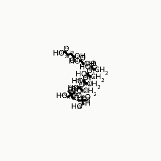 C=CC(=O)O.C=CC(=O)O.C=CC(=O)O.C=CC(=O)O.C=CC(=O)O.O=C(O)CCC(=O)O.OCC(CO)(CO)COCC(CO)(CO)CO